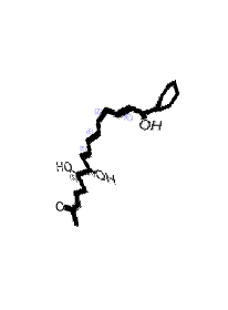 CC(=O)CCC[C@H](O)[C@H](O)/C=C/C=C/C=C\C=C\C(O)C1CCCCC1